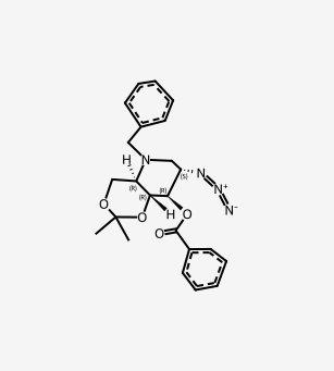 CC1(C)OC[C@@H]2[C@@H](O1)[C@H](OC(=O)c1ccccc1)[C@@H](N=[N+]=[N-])CN2Cc1ccccc1